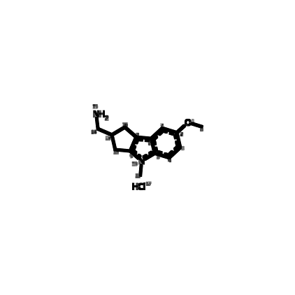 COc1ccc2c(c1)c1c(n2C)CC(CN)C1.Cl